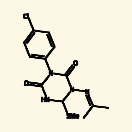 CSC1NC(=O)N(c2ccc(Cl)cc2)C(=O)N1N=C(C)C